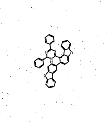 c1ccc(C2=NC(c3ccccc3)NC(c3c(-c4ccc5sc6ccccc6c5c4)ccc4oc5ccccc5c34)=N2)cc1